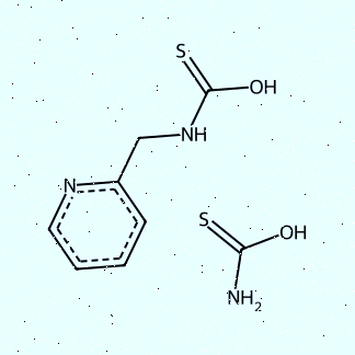 NC(O)=S.OC(=S)NCc1ccccn1